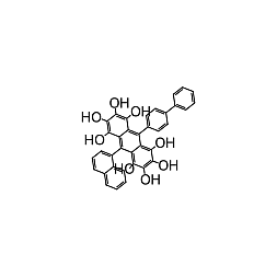 Oc1c(O)c(O)c2c(-c3cccc4ccccc34)c3c(O)c(O)c(O)c(O)c3c(-c3ccc(-c4ccccc4)cc3)c2c1O